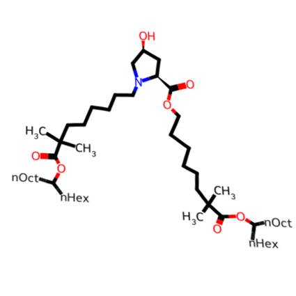 CCCCCCCCC(CCCCCC)OC(=O)C(C)(C)CCCCCCOC(=O)[C@@H]1C[C@H](O)CN1CCCCCCC(C)(C)C(=O)OC(CCCCCC)CCCCCCCC